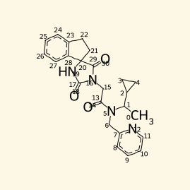 CC(C1CC1)N(Cc1ccccn1)C(=O)CN1C(=O)NC2(CCc3ccccc32)C1=O